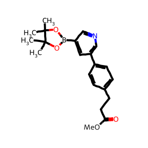 COC(=O)CCc1ccc(-c2cncc(B3OC(C)(C)C(C)(C)O3)c2)cc1